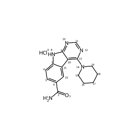 Cl.NC(=O)c1ccc2[nH]c3ncnc(N4CCCCC4)c3c2c1